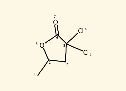 CC1CC(Cl)(Cl)C(=O)O1